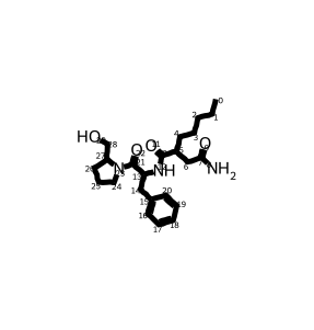 CCCCCC(CC(N)=O)C(=O)NC(Cc1ccccc1)C(=O)N1CCCC1CO